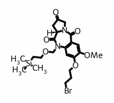 COc1cc2c(cc1OCCCBr)N(COCC[Si](C)(C)C)C(=O)[C@@H]1CC(=O)CN1C2=O